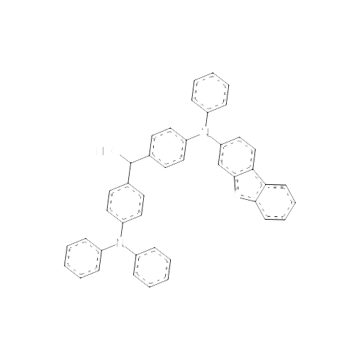 CC(c1ccc(N(c2ccccc2)c2ccccc2)cc1)c1ccc(N(c2ccccc2)c2ccc3c(c2)sc2ccccc23)cc1